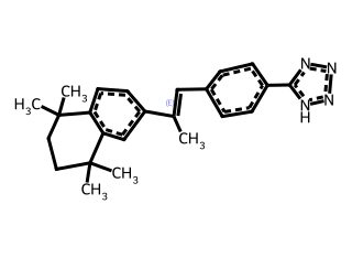 C/C(=C\c1ccc(-c2nnn[nH]2)cc1)c1ccc2c(c1)C(C)(C)CCC2(C)C